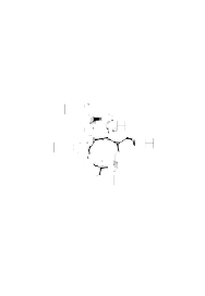 CCC1OOC(C)N[C@H](C)C(OC(C)=O)[C@H]1C